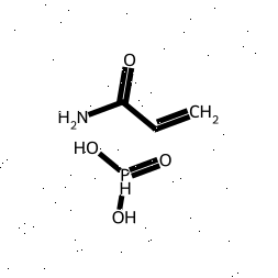 C=CC(N)=O.O=[PH](O)O